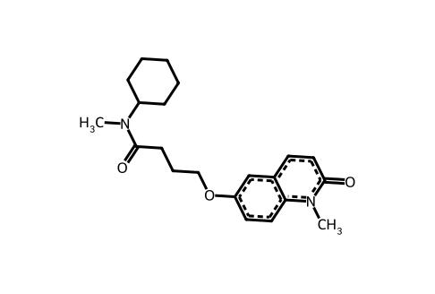 CN(C(=O)CCCOc1ccc2c(ccc(=O)n2C)c1)C1CCCCC1